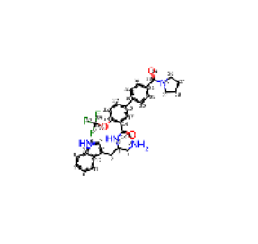 NCC(Cc1c[nH]c2ccccc12)NC(=O)c1cc(-c2ccc(C(=O)N3CCCC3)cc2)ccc1OC(F)(F)F